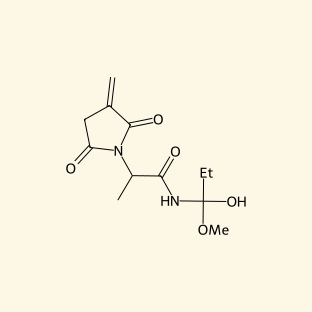 C=C1CC(=O)N(C(C)C(=O)NC(O)(CC)OC)C1=O